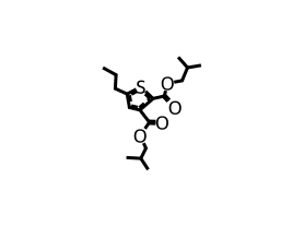 CCCc1cc(C(=O)OCC(C)C)c(C(=O)OCC(C)C)s1